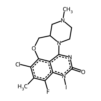 Cc1c(Cl)c2c3c(nc(=O)n(I)c3c1F)N1CCN(C)CC1CO2